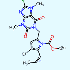 C/C=C\c1c(CC)cc(Cn2c(=O)c3c(nc(Br)n3C)n(C)c2=O)n1C(=O)OC(C)(C)C